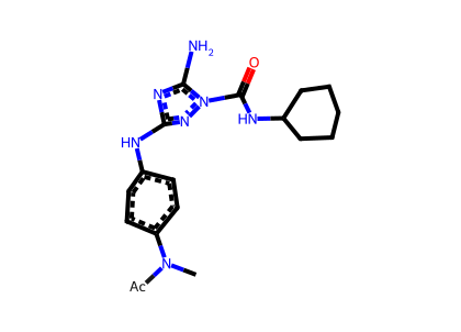 CC(=O)N(C)c1ccc(Nc2nc(N)n(C(=O)NC3CCCCC3)n2)cc1